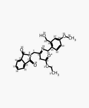 CCOC(=O)C/C(CN1C(=O)c2ccccc2C1=O)=N\Cc1ccc(OC)cc1CO